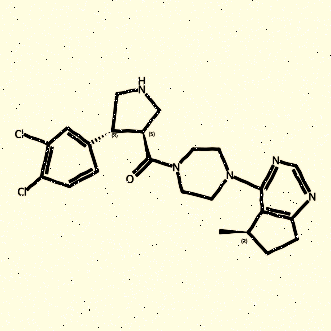 C[C@@H]1CCc2ncnc(N3CCN(C(=O)[C@@H]4CNC[C@H]4c4ccc(Cl)c(Cl)c4)CC3)c21